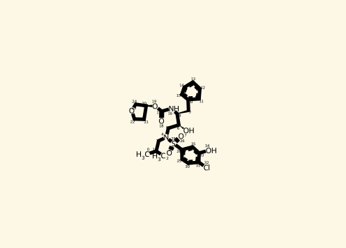 CC(C)CN(C[C@@H](O)[C@H](Cc1ccccc1)NC(=O)O[C@H]1CCOC1)S(=O)(=O)c1ccc(Cl)c(O)c1